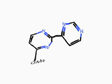 COc1ccnc(-c2ccn[c]n2)n1